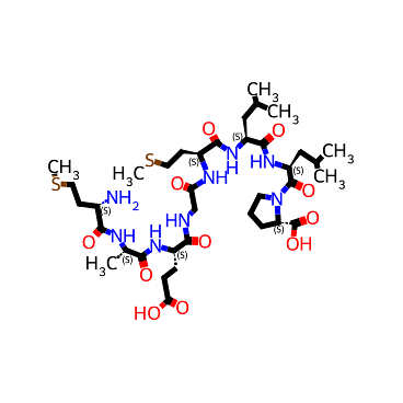 CSCC[C@H](NC(=O)CNC(=O)[C@H](CCC(=O)O)NC(=O)[C@H](C)NC(=O)[C@@H](N)CCSC)C(=O)N[C@@H](CC(C)C)C(=O)N[C@@H](CC(C)C)C(=O)N1CCC[C@H]1C(=O)O